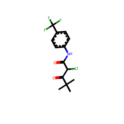 CC(C)(C)C(=O)C(Cl)C(=O)Nc1ccc(C(F)(F)F)cc1